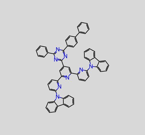 c1ccc(-c2ccc(-c3nc(-c4ccccc4)nc(-c4cc(-c5cccc(-n6c7ccccc7c7ccccc76)n5)nc(-c5cccc(-n6c7ccccc7c7ccccc76)n5)c4)n3)cc2)cc1